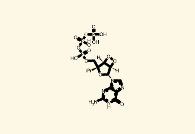 CC(C)[C@]1(COP(=O)(O)OP(=O)(O)OP(=O)(O)O)O[C@@H](n2cnc3c(=O)[nH]c(N)nc32)[C@@H]2OO[C@@H]21